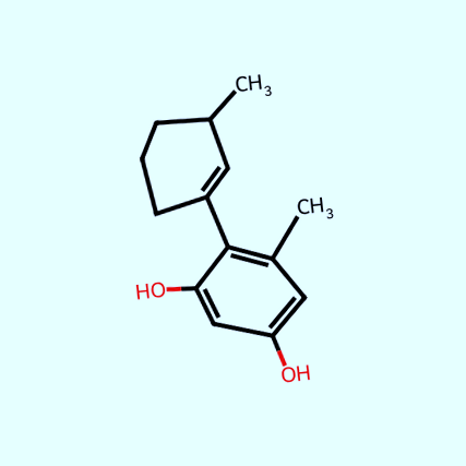 Cc1cc(O)cc(O)c1C1=CC(C)CCC1